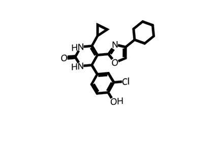 O=C1NC(C2CC2)=C(c2nc(C3CCCCC3)co2)C(c2ccc(O)c(Cl)c2)N1